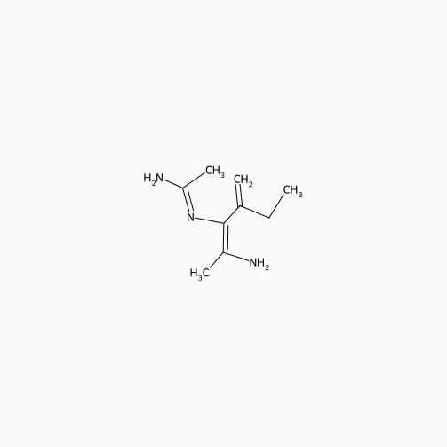 C=C(CC)C(/N=C(\C)N)=C(/C)N